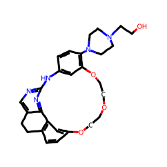 OCCN1CCN(c2ccc3cc2OCCOCCOc2ccc4c(c2)-c2nc(ncc2CC4)N3)CC1